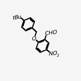 CC(C)(C)c1ccc(COc2ccc([N+](=O)[O-])cc2C=O)cc1